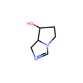 OC1CCN2C=NCC12